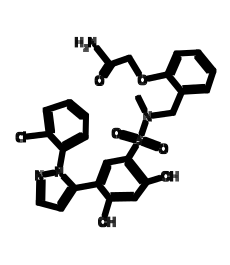 CN(Cc1ccccc1OCC(N)=O)S(=O)(=O)c1cc(-c2ccnn2-c2ccccc2Cl)c(O)cc1O